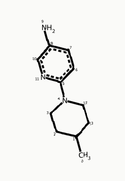 CC1CCN(c2ccc(N)cn2)CC1